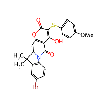 COc1ccc(Sc2c(O)c3c(=O)n4c(cc3oc2=O)C(C)(C)c2cc(Br)ccc2-4)cc1